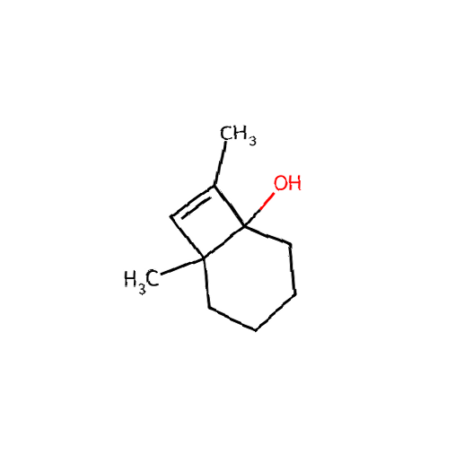 CC1=CC2(C)CCCCC12O